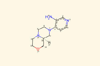 Nc1cnccc1N1CCN2CCOC[C@@H]2C1